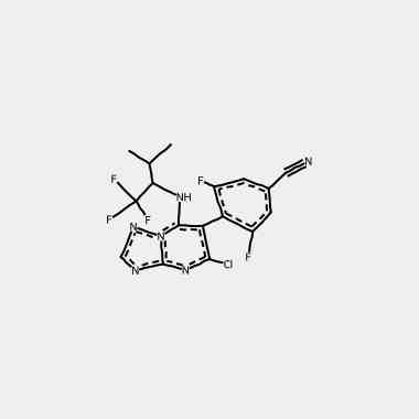 CC(C)C(Nc1c(-c2c(F)cc(C#N)cc2F)c(Cl)nc2ncnn12)C(F)(F)F